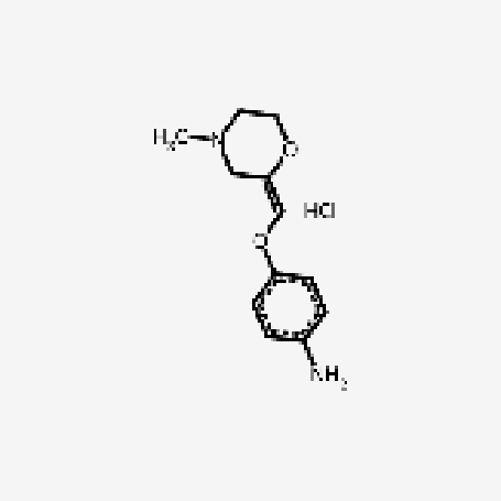 CN1CCOC(=COc2ccc(N)cc2)C1.Cl